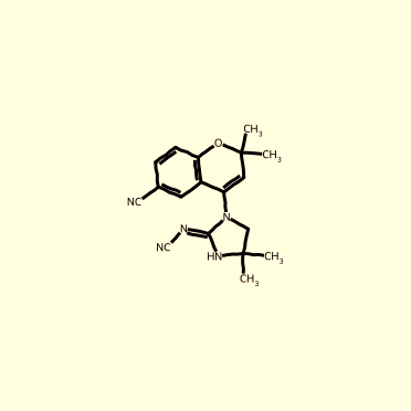 CC1(C)CN(C2=CC(C)(C)Oc3ccc(C#N)cc32)C(=NC#N)N1